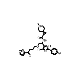 CN1CCC2(CC1)CC2C(=O)NC(COCCCC(=O)c1ccon1)c1[nH]c(-c2ccc(F)cc2)nc1Cl